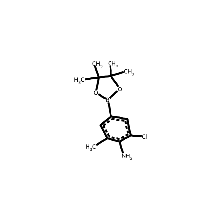 Cc1cc(B2OC(C)(C)C(C)(C)O2)cc(Cl)c1N